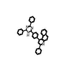 c1ccc(C2=NC(c3ccccc3)NC(c3ccc(-c4cc(-c5ccccc5)nc5ccc6ccccc6c45)cc3)=N2)cc1